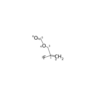 C=C(F)CO[C]=O